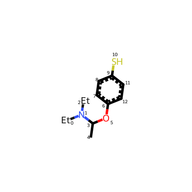 CCN(CC)C(C)Oc1ccc(S)cc1